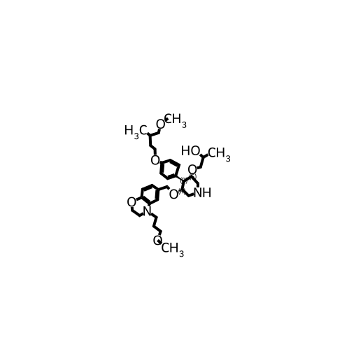 COCCCN1CCOc2ccc(CO[C@H]3CNC[C@@H](OCC(C)O)[C@@H]3c3ccc(OCCC(C)COC)cc3)cc21